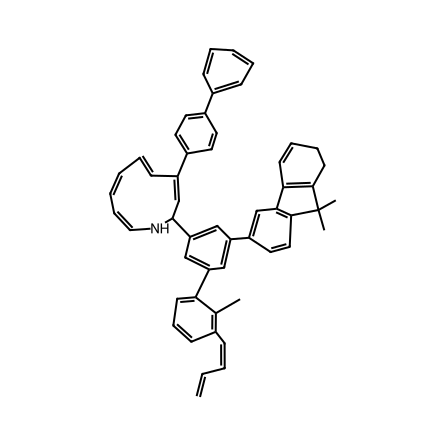 C=C/C=C\c1cccc(-c2cc(-c3ccc4c(c3)C3=C(CCC=C3)C4(C)C)cc(C3\C=C(c4ccc(-c5ccccc5)cc4)/C=C/C=C\C=C/N3)c2)c1C